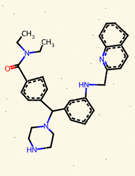 CCN(CC)C(=O)c1ccc(C(c2cccc(NCc3ccc4ccccc4n3)c2)N2CCNCC2)cc1